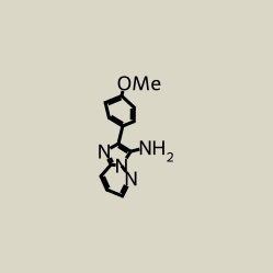 COc1ccc(-c2nc3cccnn3c2N)cc1